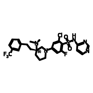 CN(C)[C@@]1(CCc2cccc(C(F)(F)F)c2)CCCN(c2cc(F)c(S(=O)(=O)Nc3ccncn3)c(Cl)c2)C1